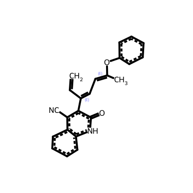 C=C/C(=C\C=C(/C)Oc1ccccc1)c1c(C#N)c2ccccc2[nH]c1=O